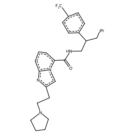 CC(C)CC(CNC(=O)c1cccc2nc(CCN3CCCC3)cn12)c1ccc(C(F)(F)F)cc1